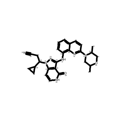 CC1CN(c2ccc3cccc(Nc4nn(C(CC#N)C5CC5)c5cc[nH]c(=O)c45)c3n2)C(C)CO1